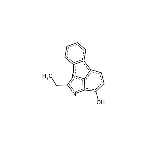 CCc1nc2c(O)ccc3c4ccccc4n1c23